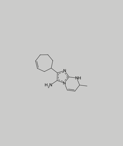 CC1C=Cn2c(nc(C3CC=CCCC3)c2N)N1